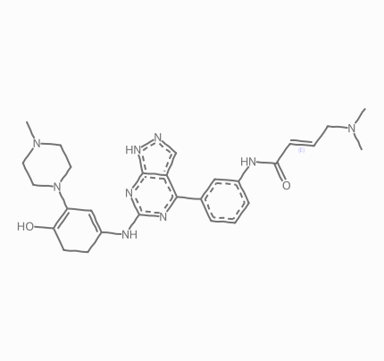 CN(C)C/C=C/C(=O)Nc1cccc(-c2nc(NC3=CC(N4CCN(C)CC4)=C(O)CC3)nc3[nH]ncc23)c1